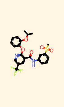 CC(C)Oc1ccccc1Oc1ncc(C(F)(F)F)cc1C(=O)Nc1cccc(S(C)(=O)=O)c1